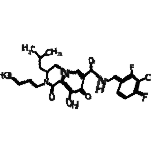 CC(C)C[C@H]1Cn2cc(C(=O)NCc3ccc(F)c(Cl)c3F)c(=O)c(O)c2C(=O)N1CCCO